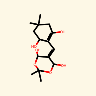 CC1(C)CC(O)=C(C=C2C(O)OC(C)(C)OC2O)C(O)C1